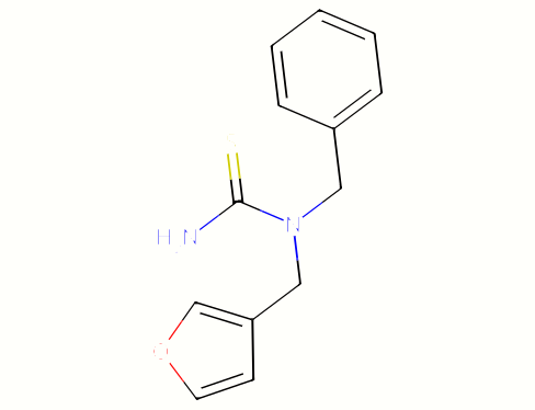 NC(=S)N(Cc1ccccc1)Cc1ccoc1